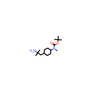 CN(C(=O)OC(C)(C)C)C1CCC(CC(C)(C)N)CC1